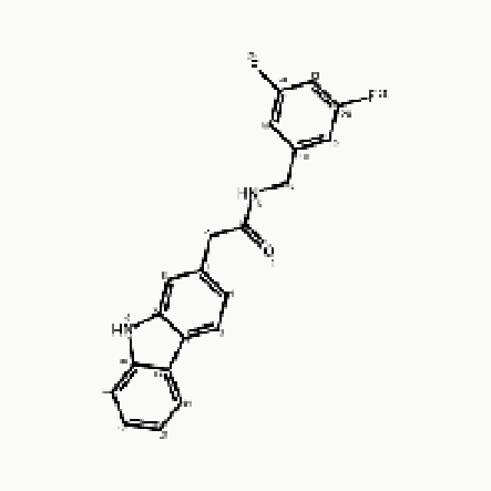 O=C(Cc1ccc2c(c1)[nH]c1ccccc12)NCc1cc(F)cc(F)c1